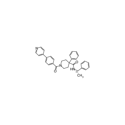 C[C@H](NC(=O)C1(c2ccccc2)CCN(C(=O)c2ccc(-c3ccncc3)cc2)CC1)c1ccccc1